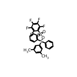 Cc1cc(C)cc(S(OS(=O)(=O)c2c(F)c(F)c(F)c(F)c2F)(c2ccccc2)c2ccccc2)c1